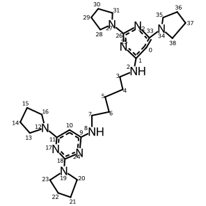 c1c(NCCCCCNc2cc(N3CCCC3)nc(N3CCCC3)n2)nc(N2CCCC2)nc1N1CCCC1